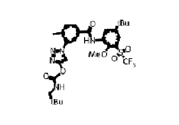 COc1c(NC(=O)c2ccc(C)c(-n3cc(OC(=O)NCC(C)(C)C)nn3)c2)cc(C(C)(C)C)cc1S(=O)(=O)C(F)(F)F